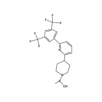 CB(O)N1CCC(c2cccc(-c3cc(C(F)(F)F)cc(C(F)(F)F)c3)n2)CC1